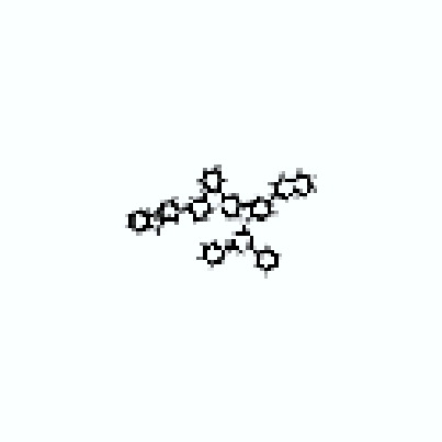 c1ccc(-c2cc(-n3c4ccc(-c5ccc6ccccc6c5)cc4c4cc5c6ccccc6c6cc(-c7ccc8c(c7)sc7ccccc78)ccc6c5cc43)nc(-c3ccccc3)n2)cc1